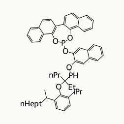 CCCCCCCC(C)c1cccc(C(C)C)c1OC(CC)(CCC)POc1cc2ccccc2cc1Op1oc2c3ccccc3ccc2c2ccc3ccccc3c2o1